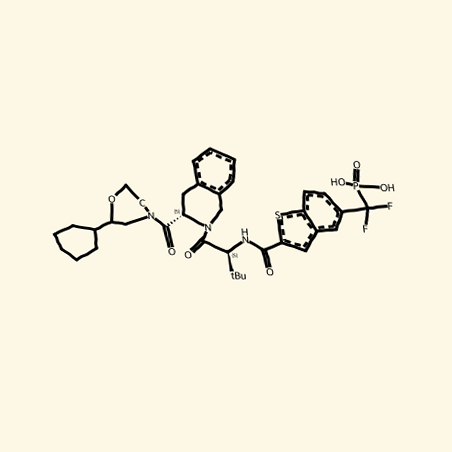 CC(C)(C)[C@H](NC(=O)c1cc2cc(C(F)(F)P(=O)(O)O)ccc2s1)C(=O)N1Cc2ccccc2C[C@H]1C(=O)N1CCOC(C2CCCCC2)C1